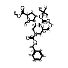 COC(=O)C1CC[C@H](CCN(CC(C=O)NC(=O)OC(C)(C)C)C(=O)OCc2ccccc2)N1C